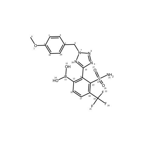 COc1ccc(Cn2nnc(-c3c(B(O)O)ccc(C(F)(F)F)c3S(N)(=O)=O)n2)cc1